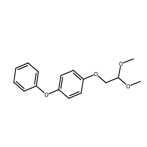 COC(COc1ccc(Oc2ccccc2)cc1)OC